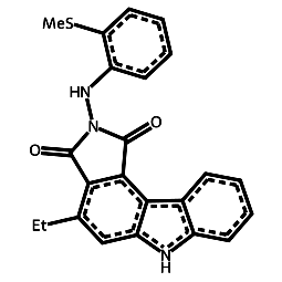 CCc1cc2[nH]c3ccccc3c2c2c1C(=O)N(Nc1ccccc1SC)C2=O